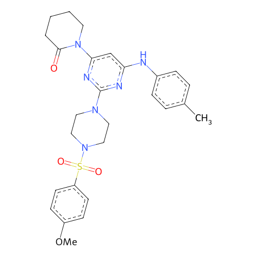 COc1ccc(S(=O)(=O)N2CCN(c3nc(Nc4ccc(C)cc4)cc(N4CCCCC4=O)n3)CC2)cc1